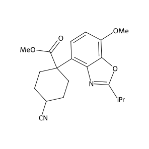 COC(=O)C1(c2ccc(OC)c3oc(C(C)C)nc23)CCC(C#N)CC1